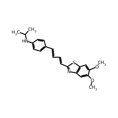 COc1cc2nc(C=CC=Cc3ccc(NC(C)C)cc3)sc2cc1OC